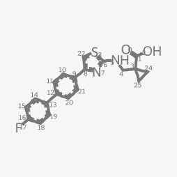 O=C(O)C1(CNc2nc(-c3ccc(-c4ccc(F)cc4)cc3)cs2)CC1